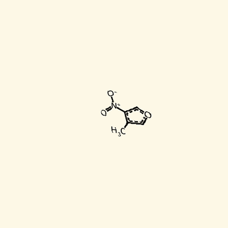 Cc1cocc1[N+](=O)[O-]